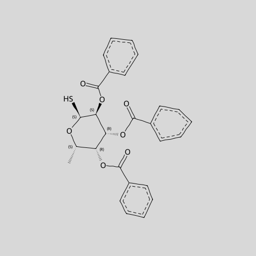 C[C@@H]1O[C@@H](S)[C@@H](OC(=O)c2ccccc2)[C@H](OC(=O)c2ccccc2)[C@@H]1OC(=O)c1ccccc1